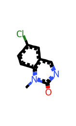 Cn1c(=O)ncc2cc(Cl)ccc21